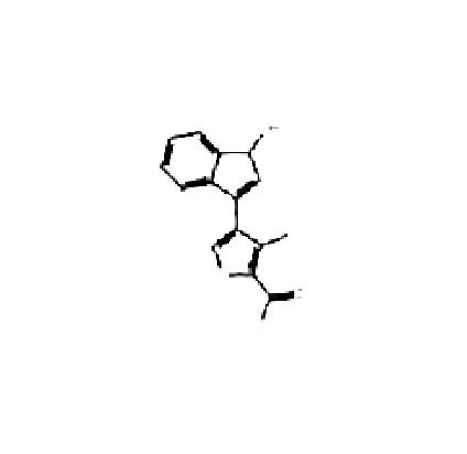 Cc1c(C2=CC(O)c3ccccc32)csc1C(=O)O